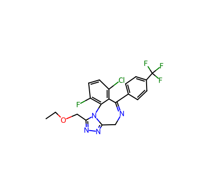 CCOCc1nnc2n1-c1c(F)ccc(Cl)c1C(c1ccc(C(F)(F)F)cc1)=NC2